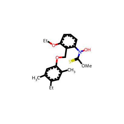 CCOc1cccc(N(O)C(=S)OC)c1COc1cc(C)c(CC)cc1C